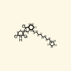 O=C1CCC(N2Cc3c(SCCCCCCCN4CCCC4)cccc3C2=O)C(=O)N1